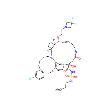 COCCNS(=O)(=O)NC(=O)[C@@]1(O)CC(=O)N(C)CC/C=C/[C@H](OCCN2CC(F)(F)C2)[C@@H]2CC[C@H]2CN2CCCCc3cc(Cl)ccc3COc3ccc1cc32